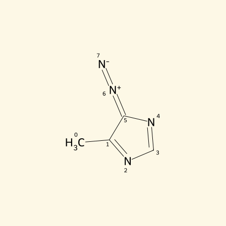 CC1=NC=NC1=[N+]=[N-]